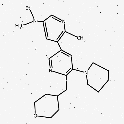 CCN(C)c1cnc(C)c(-c2cnc(CC3CCOCC3)c(N3CCCCC3)c2)c1